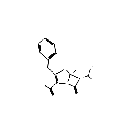 CC(O)[C@H]1C(=O)N2C(C(=O)O)=C(Cc3ccccc3)S[C@H]12